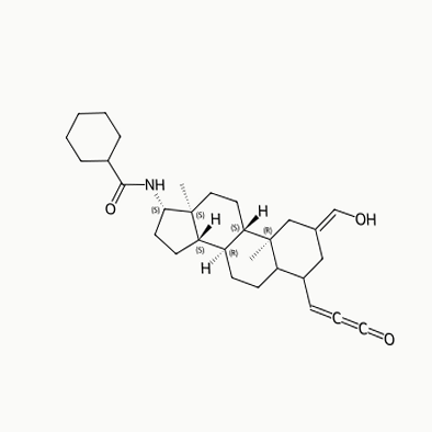 C[C@]12CC[C@H]3[C@@H](CCC4C(C=C=C=O)CC(=CO)C[C@@]43C)[C@@H]1CC[C@@H]2NC(=O)C1CCCCC1